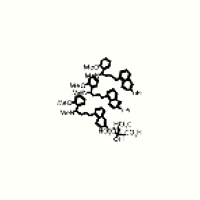 CCCc1ccc2c(CCCC(NC)c3ccccc3OC)cccc2c1.CCCc1ccc2c(CCCC(NC)c3ccccc3OC)cccc2c1.CCCc1ccc2c(CCCC(NC)c3ccccc3OC)cccc2c1.O=C(O)CC(O)(CC(=O)O)C(=O)O